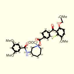 COCOc1ccc(OC)c(F)c1C(=O)c1ccc(C(=O)O[N+]2(C(=O)[O-])CCCCC(NC(=O)c3cc(OC)cc(OC)c3)C2)cc1